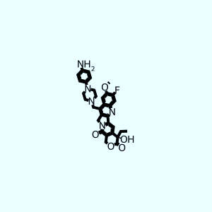 CC[C@@]1(O)C(=O)OCc2c1cc1n(c2=O)Cc2c-1nc1cc(F)c(OC)cc1c2CN1CCN(c2ccc(N)cc2)CC1